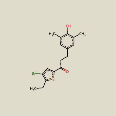 CCc1sc(C(=O)CCc2cc(C)c(O)c(C)c2)cc1Br